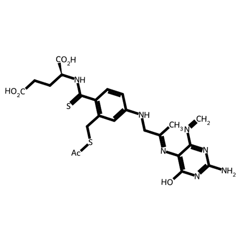 C=Nc1nc(N)nc(O)c1/N=C(\C)CNc1ccc(C(=S)N[C@@H](CCC(=O)O)C(=O)O)c(CSC(C)=O)c1